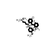 COC1=CCC(S(=O)(=O)N(CCCN(C)C)c2ccc(Cl)cc2Cc2c(F)cccc2F)C=C1OC